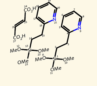 CO[Si](CCc1ccccn1)(OC)OC.CO[Si](CCc1ccccn1)(OC)OC.O=C(O)C=CC(=O)O